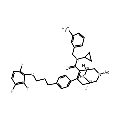 CC(=O)N1C[C@H]2CC(c3ccc(CCCOc4c(F)ccc(F)c4F)cc3)=C(C(=O)N(Cc3cccc(C)c3)C3CC3)[C@@H](C1)N2